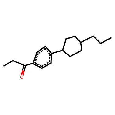 CCCC1CCC(c2ccc(C(=O)CC)cc2)CC1